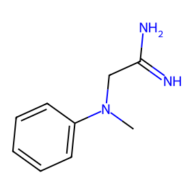 CN(CC(=N)N)c1ccccc1